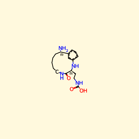 N[C@H]1CCCCCNC(=O)[C@H](CCNC(=O)O)Nc2cccc1c2